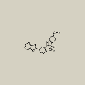 C=S(=O)(Nc1cc(-c2nc3ncccc3o2)ccn1)c1ccc(OC)cc1